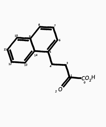 O=C(O)C(=O)CCc1cccc2ccccc12